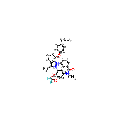 CN(C(=O)c1cccc(-n2nc(C(F)(F)F)c3c2C(Oc2ccc(CC(=O)O)cc2)CCC3)c1)c1ccc2c(c1)OC(F)(F)O2